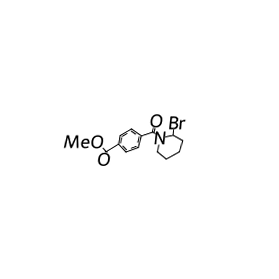 COC(=O)c1ccc(C(=O)N2CCCCC2Br)cc1